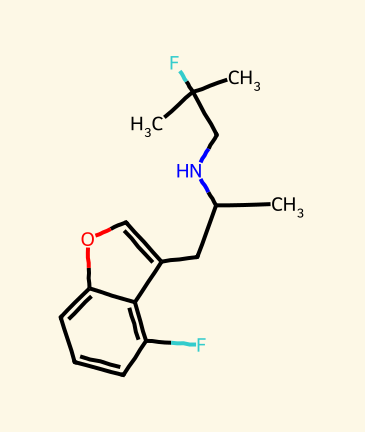 CC(Cc1coc2cccc(F)c12)NCC(C)(C)F